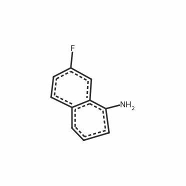 Nc1cccc2ccc(F)cc12